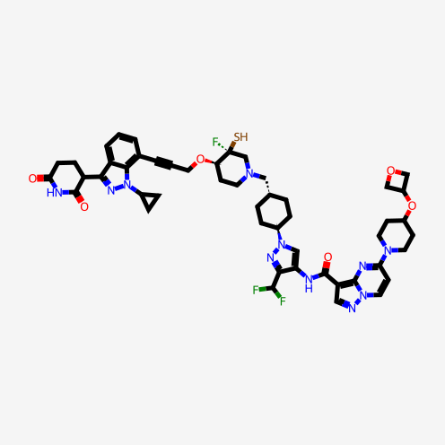 O=C1CCC(c2nn(C3CC3)c3c(C#CCO[C@@H]4CCN(C[C@H]5CC[C@H](n6cc(NC(=O)c7cnn8ccc(N9CCC(OC%10COC%10)CC9)nc78)c(C(F)F)n6)CC5)C[C@]4(F)S)cccc23)C(=O)N1